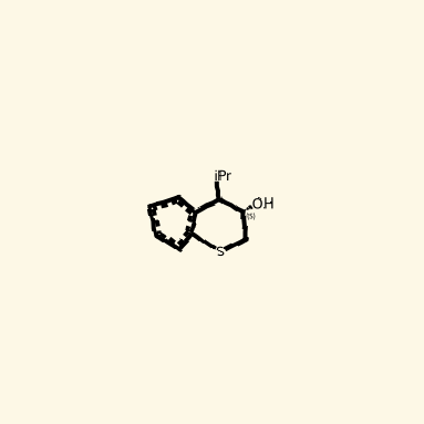 CC(C)C1c2ccccc2SC[C@H]1O